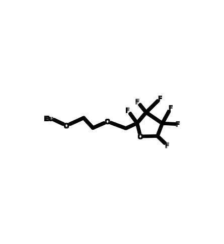 CCC(C)OCCOCC1(F)OC(F)C(F)(F)C1(F)F